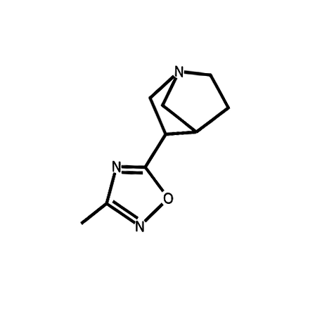 Cc1noc(C2CN3CCC2C3)n1